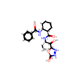 CC(C)C[C@H](NC(=O)[C@@H]1CCCC[C@@H]1NC(=O)c1ccccc1)C(=O)C1N=NC(=O)O1